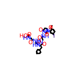 COc1ccc(I)cc1N1CCC(=O)N(CNC(=O)CNC(=O)C(Cc2ccccc2)NC(=O)CNC(=O)CNC(=O)O)C1=O